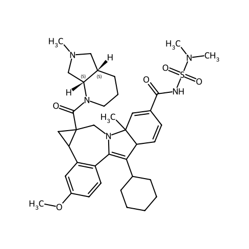 COc1ccc2c(c1)C1CC1(C(=O)N1CCC[C@H]3CN(C)C[C@H]31)CN1C2=C(C2CCCCC2)C2C=CC(C(=O)NS(=O)(=O)N(C)C)=CC21C